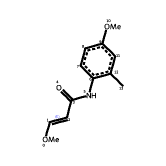 CO/C=C/C(=O)Nc1ccc(OC)cc1C